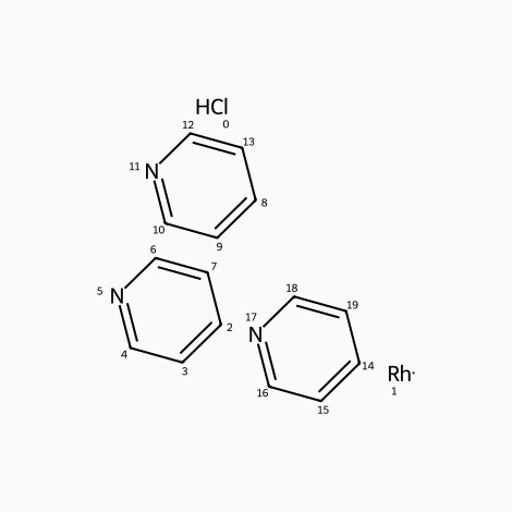 Cl.[Rh].c1ccncc1.c1ccncc1.c1ccncc1